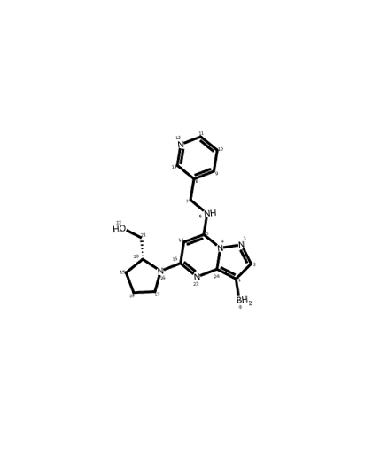 Bc1cnn2c(NCc3cccnc3)cc(N3CCC[C@@H]3CO)nc12